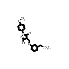 CCOC(=O)Cc1cccc(OCc2c(C(C)C)nn(-c3ccc(OC(F)(F)F)cc3)c2Cl)c1